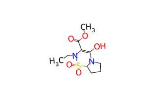 CCN1C(C(=O)OC)=C(O)N2CCCC2S1(=O)=O